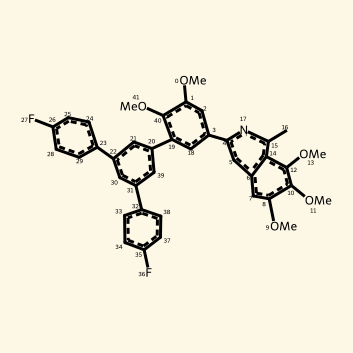 COc1cc(-c2cc3cc(OC)c(OC)c(OC)c3c(C)n2)cc(-c2cc(-c3ccc(F)cc3)cc(-c3ccc(F)cc3)c2)c1OC